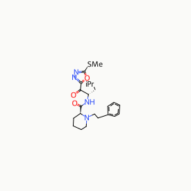 CSc1nnc(C(=O)[C@H](CC(C)C)NC(=O)[C@@H]2CCCCN2CCc2ccccc2)o1